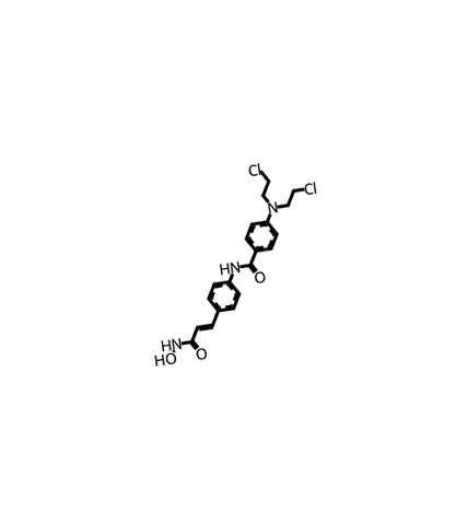 O=C(C=Cc1ccc(NC(=O)c2ccc(N(CCCl)CCCl)cc2)cc1)NO